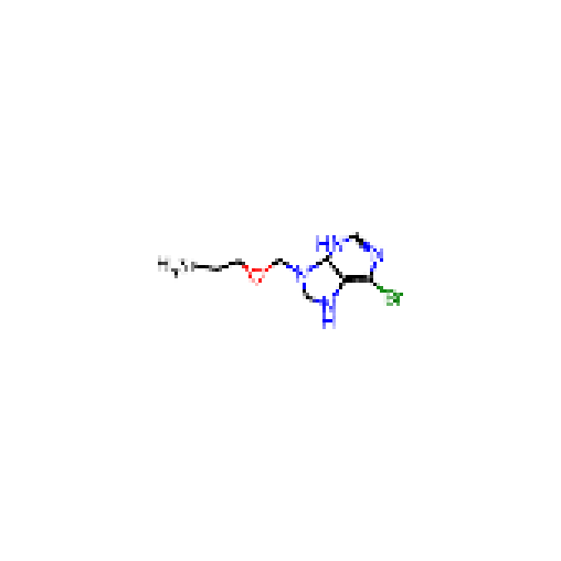 [SiH3]CCOCN1CNC2=C(Br)N=CNC21